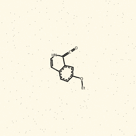 CCOc1ccc2c(c1)C(=C=O)NC=C2